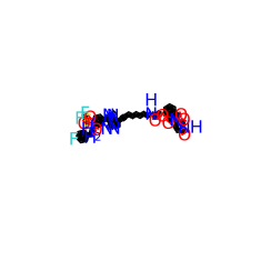 Cn1nc(-c2ccc(NS(=O)(=O)C(F)F)c(OCCc3ccc(F)cc3)c2)c2c(N)ncc(C#CCCCCCCNC(=O)COc3cccc4c3C(=O)N(C3CCC(=O)NC3=O)C4=O)c21